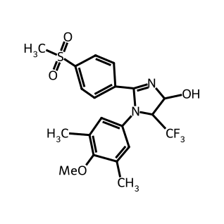 COc1c(C)cc(N2C(c3ccc(S(C)(=O)=O)cc3)=NC(O)C2C(F)(F)F)cc1C